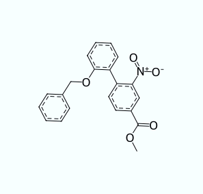 COC(=O)c1ccc(-c2ccccc2OCc2ccccc2)c([N+](=O)[O-])c1